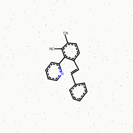 N#Cc1ccc(C=Cc2ccccc2)c(-c2ccccn2)c1C#N